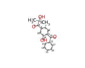 CC(C)(O)C(=O)c1ccc(C(=O)c2ccccc2)c(O)c1